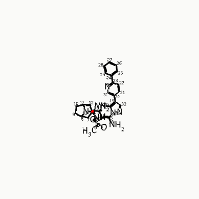 CS(=O)(=O)c1c(C2CC3CCC(C2)N3C(=N)N)nc2c(-c3ccc(-c4ccccc4)nc3)cnn2c1N